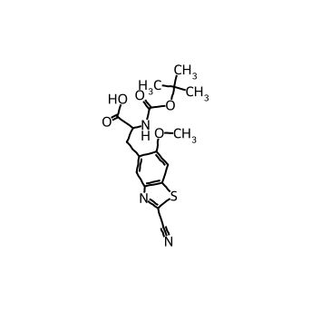 COc1cc2sc(C#N)nc2cc1CC(NC(=O)OC(C)(C)C)C(=O)O